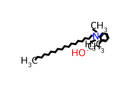 CCCCCCCCCCCCCCCCCC[N+](CCC)(CCC)c1ccccc1C.[OH-]